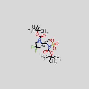 CC(C)(C)OC(=O)N1CC(F)(F)C[C@H]1[C@@H]1COS(=O)(=O)N1C(=O)OC(C)(C)C